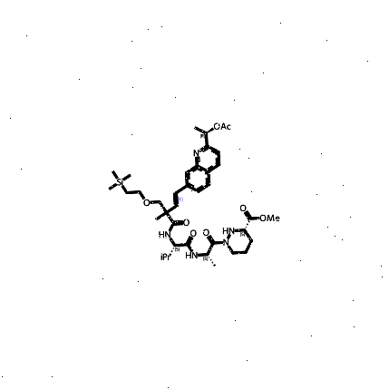 COC(=O)[C@@H]1CCCN(C(=O)[C@H](C)NC(=O)[C@@H](NC(=O)C(C)(/C=C/c2ccc3ccc([C@@H](C)OC(C)=O)nc3c2)COCC[Si](C)(C)C)C(C)C)N1